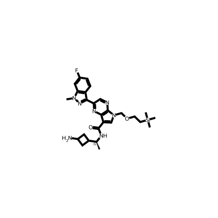 C[C@H](NC(=O)c1cn(COCC[Si](C)(C)C)c2ncc(-c3nn(C)c4cc(F)ccc34)nc12)C1CC(N)C1